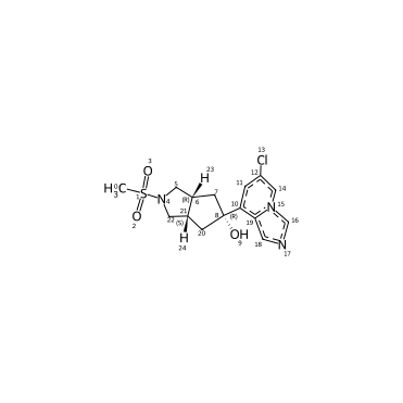 CS(=O)(=O)N1C[C@@H]2C[C@@](O)(c3cc(Cl)cn4cncc34)C[C@@H]2C1